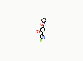 COc1cc(-c2nc3ccccc3o2)ccc1-c1ccc(F)nc1